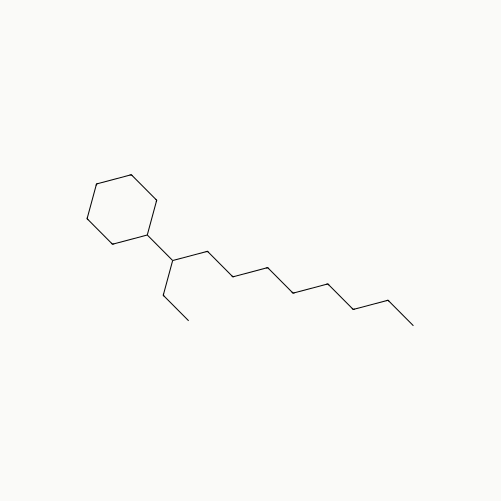 CCCCCCCCC(CC)C1CCCCC1